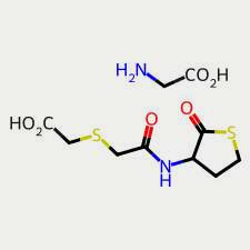 NCC(=O)O.O=C(O)CSCC(=O)NC1CCSC1=O